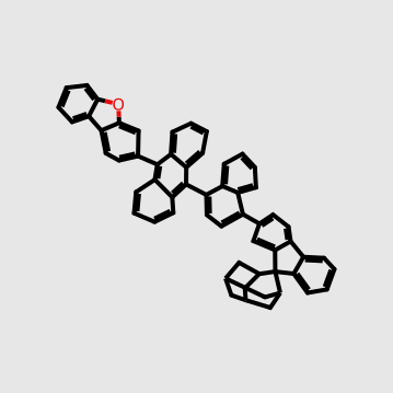 c1ccc2c(c1)-c1ccc(-c3ccc(-c4c5ccccc5c(-c5ccc6c(c5)oc5ccccc56)c5ccccc45)c4ccccc34)cc1C21C2CC3CC(C2)CC1C3